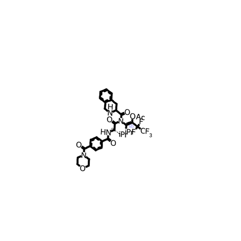 CC(=O)O/C(=C(/C(C)C)N(C(=O)C1Cc2ccccc2CN1)C(=O)[C@@H](NC(=O)c1ccc(C(=O)N2CCOCC2)cc1)C(C)C)C(F)(F)C(F)(F)F